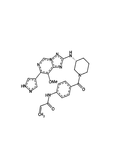 C=CC(=O)Nc1ccc(C(=O)N2CCC[C@@H](Nc3nc4c(OC)c(-c5cn[nH]c5)ncn4n3)C2)cc1